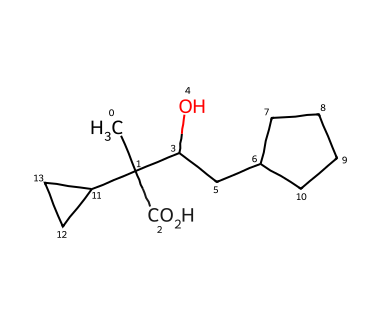 CC(C(=O)O)(C(O)CC1CCCC1)C1CC1